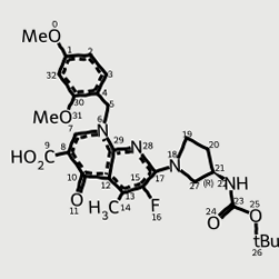 COc1ccc(Cn2cc(C(=O)O)c(=O)c3c(C)c(F)c(N4CC[C@@H](NC(=O)OC(C)(C)C)C4)nc32)c(OC)c1